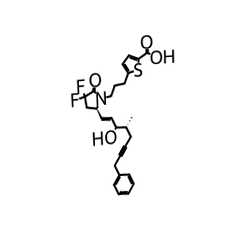 C[C@H](CC#CCc1ccccc1)[C@H](O)/C=C/[C@H]1CC(F)(F)C(=O)N1CCCc1ccc(C(=O)O)s1